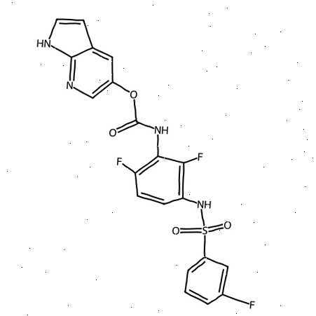 O=C(Nc1c(F)ccc(NS(=O)(=O)c2cccc(F)c2)c1F)Oc1cnc2[nH]ccc2c1